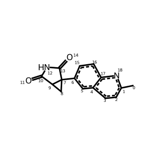 Cc1ccc2cc(C34CC3C(=O)NC4=O)ccc2n1